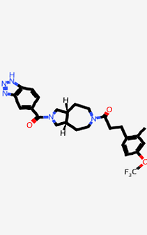 Cc1cc(OC(F)(F)F)ccc1CCC(=O)N1CC[C@@H]2CN(C(=O)c3ccc4[nH]nnc4c3)C[C@@H]2CC1